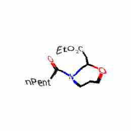 CCCCCC(=O)N1CCOC1C(=O)OCC